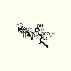 C=CCCC(C)C[C@@H](CC)[C@H](NC(=O)O)C(=O)N1C[C@H](O)C[C@H]1C(=O)N[C@]1(C(=O)NS(=O)(=O)C2(CO)CC2)C[C@H]1C=C